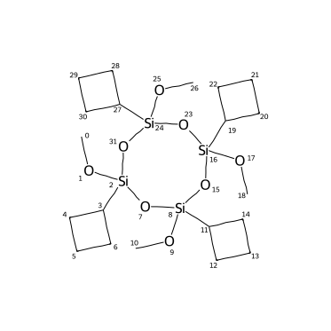 CO[Si]1(C2CCC2)O[Si](OC)(C2CCC2)O[Si](OC)(C2CCC2)O[Si](OC)(C2CCC2)O1